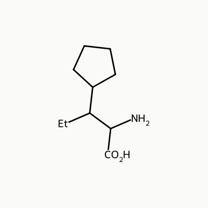 CCC(C1CCCC1)C(N)C(=O)O